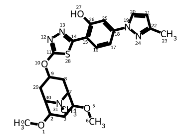 COC1CC(OC)C2CC(Oc3nnc(-c4ccc(-n5ccc(C)n5)cc4O)s3)CC1N2C